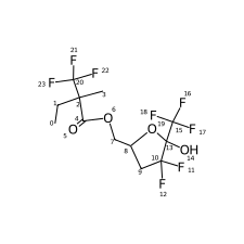 CCC(C)(C(=O)OCC1CC(F)(F)C(O)(C(F)(F)F)O1)C(F)(F)F